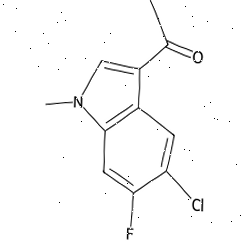 CC(=O)c1cn(C)c2cc(F)c(Cl)cc12